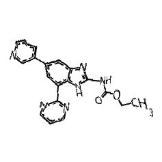 CCOC(=O)Nc1nc2cc(-c3cccnc3)cc(-c3ncccn3)c2[nH]1